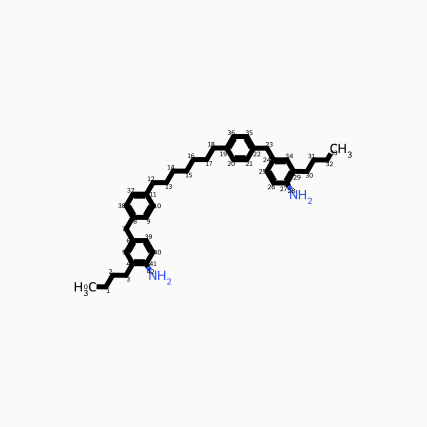 CCCCc1cc(Cc2ccc(CCCCCCCc3ccc(Cc4ccc(N)c(CCCC)c4)cc3)cc2)ccc1N